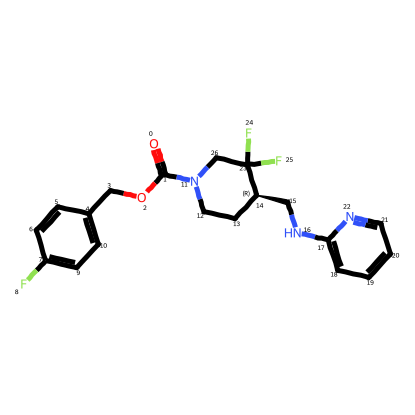 O=C(OCc1ccc(F)cc1)N1CC[C@H](CNc2ccccn2)C(F)(F)C1